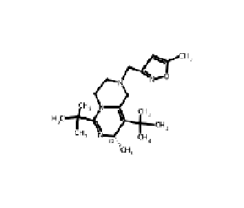 Cc1cc(CN2CCN3C(C(C)(C)C)=N[C@@H](C)C(C(C)(C)C)=C3C2)no1